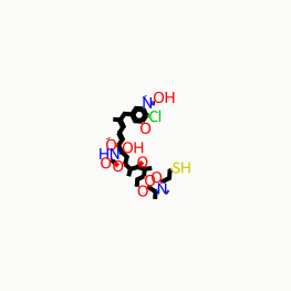 CCC(OC(=O)C(C)N(C)C(=O)CCS)C1(C)OC1C(C)C1CC(O)(C(/C=C/C=C(\C)Cc2cc(OC)c(Cl)c(N(C)CO)c2)OC)NC(=O)O1